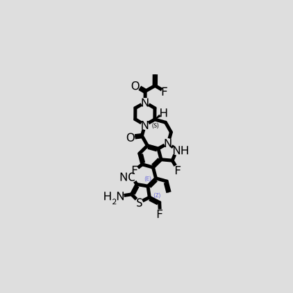 C=C/C(c1c(F)cc2c3c1C(F)NN3CC[C@H]1CN(C(=O)C(=C)F)CCN1C2=O)=c1/c(C#N)c(N)s/c1=C\F